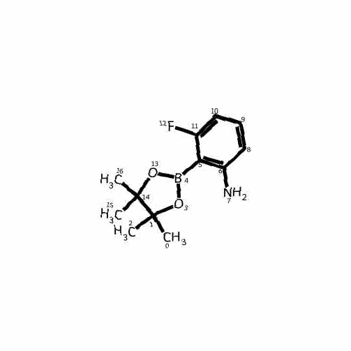 CC1(C)OB(c2c(N)cccc2F)OC1(C)C